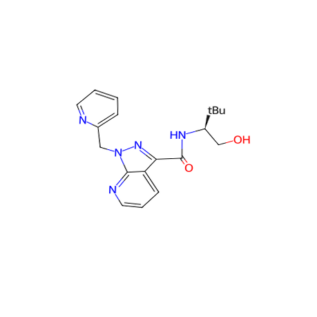 CC(C)(C)[C@@H](CO)NC(=O)c1nn(Cc2ccccn2)c2ncccc12